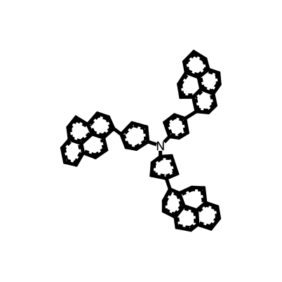 c1cc2ccc3ccc(-c4ccc(N(c5ccc(-c6ccc7ccc8cccc9ccc6c7c89)cc5)c5ccc(-c6ccc7ccc8cccc9ccc6c7c89)cc5)cc4)c4ccc(c1)c2c34